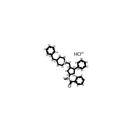 CN(C(=O)c1ccccc1)C1CC(CN2CCC(Cc3ccccc3)CC2)C(c2ccccc2)C1.Cl